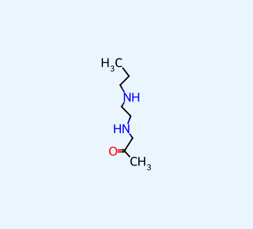 CCCNCCNCC(C)=O